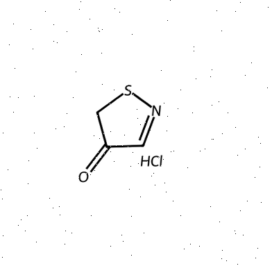 Cl.O=C1C=NSC1